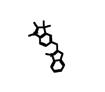 CC1=[N+](C)c2ccc(CC3=[N+](C)c4ccccc4C3)cc2C1(C)C